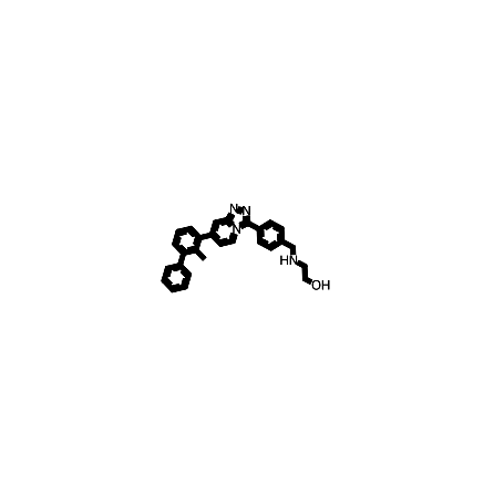 Cc1c(-c2ccccc2)cccc1-c1ccn2c(-c3ccc(CNCCO)cc3)nnc2c1